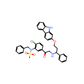 CS(=O)(=O)N(Cc1ccccc1)c1cc(C(=O)CNC(CCOc2ccc3c(c2)[nH]c2ccccc23)c2ccccc2)ccc1Cl